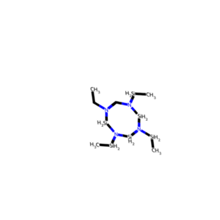 CCN1CN([SiH2]C)[SiH2]N([SiH2]C)[SiH2]N([SiH2]C)[SiH2]1